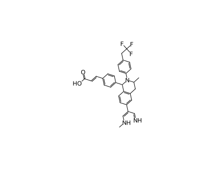 CN/C=C(\C=N)c1ccc2c(c1)CC(C)N(c1ccc(CC(F)(F)F)cc1)C2c1ccc(/C=C/C(=O)O)cc1